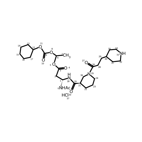 CC(=O)N[C@H](CC(=O)OC(C)OC(=O)OC1CCCCC1)NC(=O)[C@@H]1CCCN(C(=O)CCC2CCNCC2)C1.Cl